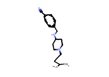 CC(C)CCN1CCC(NCc2ccc(C#N)cc2)CC1